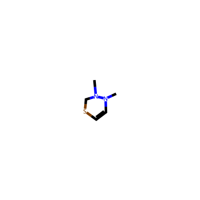 CN1C=CSCN1C